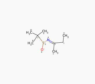 CCC(C)=N[S+]([O-])C(C)(C)C